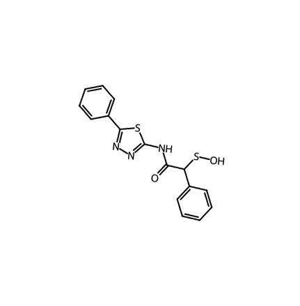 O=C(Nc1nnc(-c2ccccc2)s1)C(SO)c1ccccc1